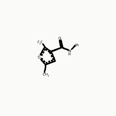 Cc1cc(C(=O)NC(C)C)c(C(F)(F)F)o1